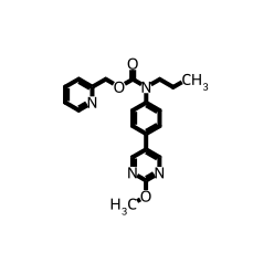 CCCN(C(=O)OCc1ccccn1)c1ccc(-c2cnc(OC)nc2)cc1